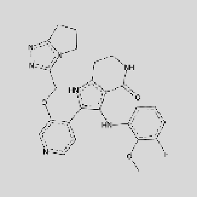 COc1c(F)cccc1Nc1c(-c2ccncc2OCc2nnc3n2CCC3)[nH]c2c1C(=O)NCC2